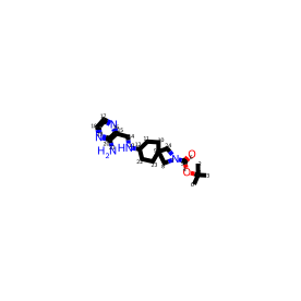 CC(C)(C)OC(=O)N1CC2(CCC(NCc3nccnc3N)CC2)C1